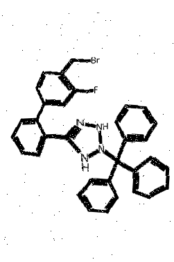 Fc1cc(-c2ccccc2C2=NNN(C(c3ccccc3)(c3ccccc3)c3ccccc3)N2)ccc1CBr